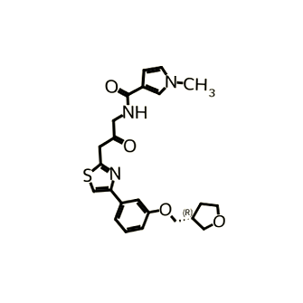 Cn1ccc(C(=O)NCC(=O)Cc2nc(-c3cccc(OC[C@@H]4CCOC4)c3)cs2)c1